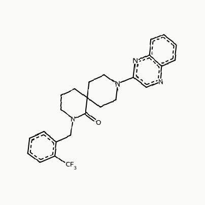 O=C1N(Cc2ccccc2C(F)(F)F)CCCC12CCN(c1cnc3ccccc3n1)CC2